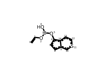 C=COB(O)Oc1ccc2csccc1-2